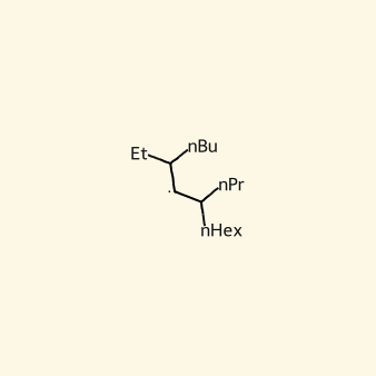 CCCCCCC([CH]C(CC)CCCC)CCC